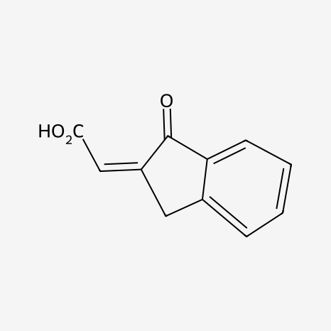 O=C(O)C=C1Cc2ccccc2C1=O